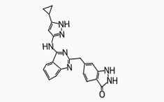 O=c1[nH][nH]c2cc(Cc3nc(Nc4cc(C5CC5)[nH]n4)c4ccccc4n3)ccc12